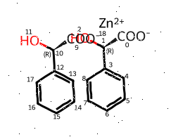 O=C([O-])[C@H](O)c1ccccc1.O=C([O-])[C@H](O)c1ccccc1.[Zn+2]